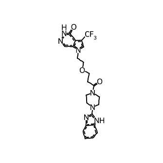 O=C(CCOCCn1cc(C(F)(F)F)c2c(=O)[nH]ncc21)N1CCN(c2nc3ccccc3[nH]2)CC1